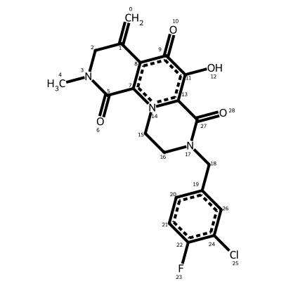 C=C1CN(C)C(=O)c2c1c(=O)c(O)c1n2CCN(Cc2ccc(F)c(Cl)c2)C1=O